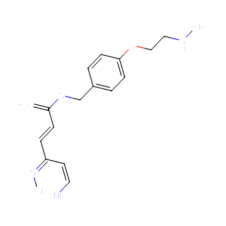 C=C(/C=C/C(/C=C\N)=N/C)NCc1ccc(OCCNC)cc1